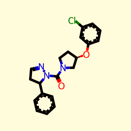 O=C(N1CC[C@@H](Oc2cccc(Cl)c2)C1)N1N=CCC1c1ccccc1